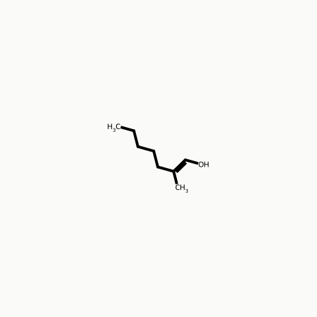 CCCCCC(C)=CO